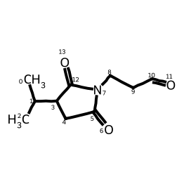 CC(C)C1CC(=O)N(CCC=O)C1=O